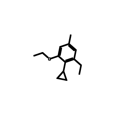 CCOc1cc(C)cc(CC)c1C1CC1